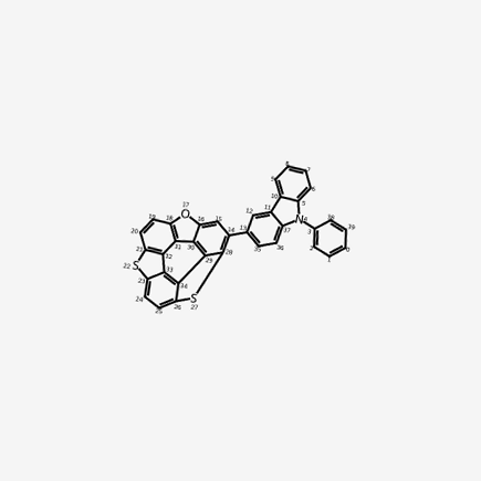 c1ccc(-n2c3ccccc3c3cc(-c4cc5oc6ccc7sc8ccc9sc4c4c5c6c7c8c94)ccc32)cc1